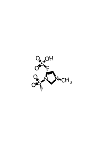 CN1C=CN(S(=O)(=O)F)C1.O=S(=O)(O)F